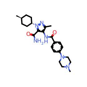 Cc1nn([C@H]2CC[C@H](C)CC2)c(C(N)=O)c1NC(=O)c1ccc(N2CCN(C)CC2)cc1